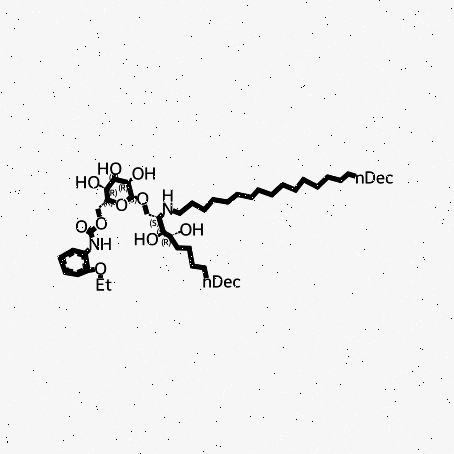 CCCCCCCCCCCCCCCCCCCCCCCCCCN[C@@H](CO[C@H]1O[C@H](COC(=O)Nc2ccccc2OCC)[C@H](O)[C@H](O)[C@H]1O)[C@H](O)[C@H](O)CCCCCCCCCCCCCC